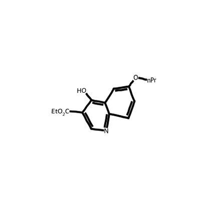 CCCOc1ccc2ncc(C(=O)OCC)c(O)c2c1